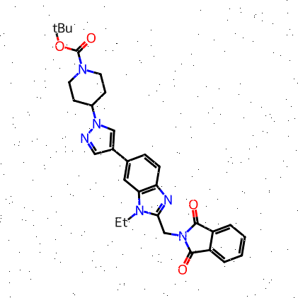 CCn1c(CN2C(=O)c3ccccc3C2=O)nc2ccc(-c3cnn(C4CCN(C(=O)OC(C)(C)C)CC4)c3)cc21